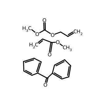 C=CC(=O)OC.C=CCOC(=O)OC.O=C(c1ccccc1)c1ccccc1